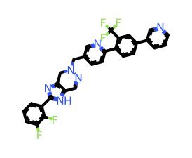 Fc1cccc(-c2nc3c([nH]2)C=NN(Cc2ccc(-c4ccc(-c5cccnc5)cc4C(F)(F)F)nc2)C3)c1F